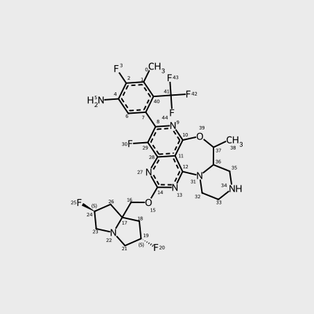 Cc1c(F)c(N)cc(-c2nc3c4c(nc(OCC56C[C@H](F)CN5C[C@@H](F)C6)nc4c2F)N2CCNCC2C(C)O3)c1C(F)(F)F